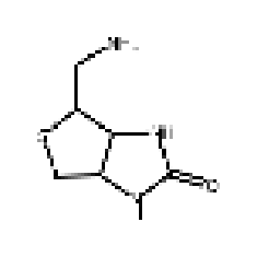 NCC1SCC2NC(=O)NC21